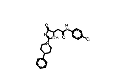 O=C(CC1NC(N2CCC(c3ccccc3)CC2)=NC1=O)Nc1ccc(Cl)cc1